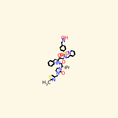 Cc1nc(CN2CCN([C@H](C(=O)N[C@@H](Cc3ccccc3)[C@@H](O)CN(Cc3ccccn3)S(=O)(=O)c3ccc(C=NO)cc3)C(C)C)C2=O)cs1